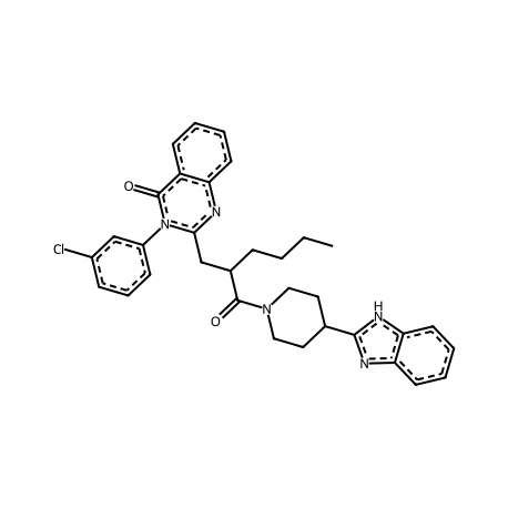 CCCCC(Cc1nc2ccccc2c(=O)n1-c1cccc(Cl)c1)C(=O)N1CCC(c2nc3ccccc3[nH]2)CC1